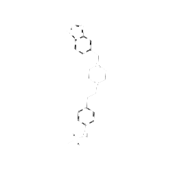 CS(=O)(=O)Nc1ccc(CCN2CCN(Cc3ccc4nonc4c3)CC2)cc1